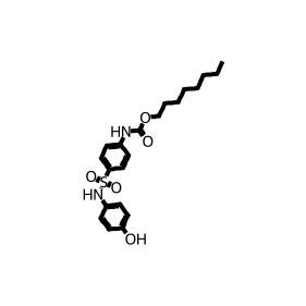 CCCCCCCCOC(=O)Nc1ccc(S(=O)(=O)Nc2ccc(O)cc2)cc1